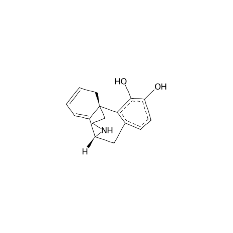 Oc1ccc2c(c1O)[C@@]13CC=CC=C1[C@@H](C2)NCC3